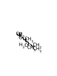 C=C(C)CC[C@H](C/C=C(\C)CCOC(=O)CC)C(=C)C